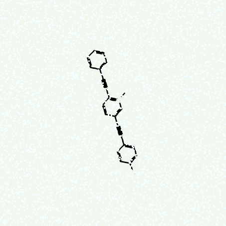 C[n+]1cc(C#Cc2ccc(S)cc2)ccc1C#Cc1ccccc1